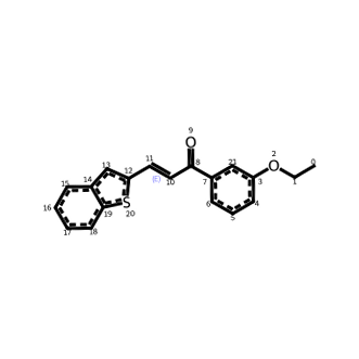 CCOc1cccc(C(=O)/C=C/c2cc3ccccc3s2)c1